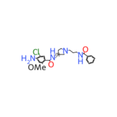 COc1cc(N)c(Cl)cc1C(=O)NC[C@@H]1CCN(CCCNC(=O)c2ccccc2)C1